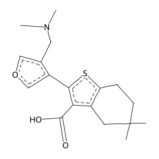 CN(C)Cc1cocc1-c1sc2c(c1C(=O)O)CC(C)(C)CC2